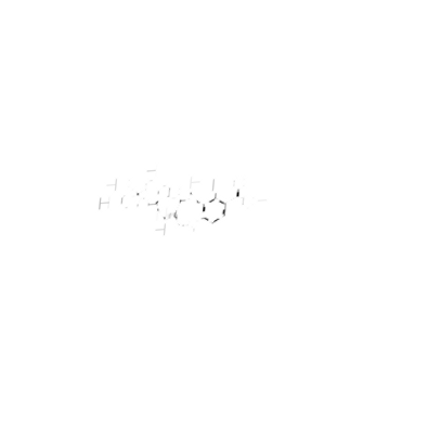 CC(C)(C)OC(=O)N[C@H]1CSc2ccc(C(=O)O)c(F)c2NC1=O